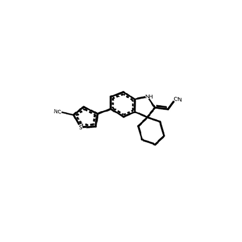 N#C/C=C1\Nc2ccc(-c3csc(C#N)c3)cc2C12CCCCC2